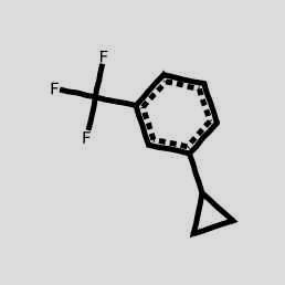 FC(F)(F)c1[c]ccc(C2CC2)c1